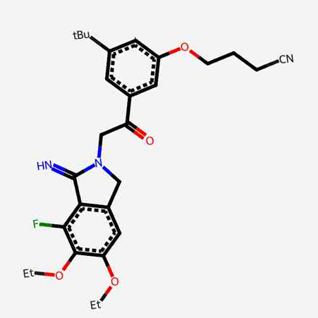 CCOc1cc2c(c(F)c1OCC)C(=N)N(CC(=O)c1cc(OCCCC#N)[c]c(C(C)(C)C)c1)C2